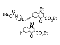 CCOC(=O)c1cn(CC)c2ccc(C#CCN3CCN(C(=O)OC(C)(C)C)CC3)cc2c1=O.CCOC(=O)c1cn(CC)c2ccc(I)cc2c1=O